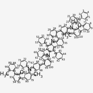 Cc1ccccc1-c1cccc2c1oc1c(N(c3ccccc3)c3ccc(-c4cccc5c4c4cccc6c7c(-c8ccccc8)c8c(c(-c9ccccc9)c7n5c46)c4cccc5c6c(-c7ccc(N(c9ccccc9)c9c(C)ccc%10c9oc9c(-c%11ccccc%11C)cccc9%10)cc7)cccc6n8c54)cc3)c(C)ccc12